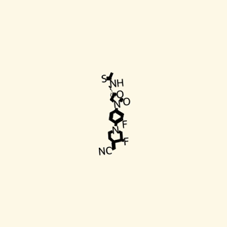 CC(=S)NC[C@H]1CN(c2ccc(N3CCC(=CC#N)C(F)C3)c(F)c2)C(=O)O1